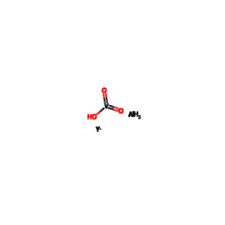 [AlH3].[O]=[V](=[O])[OH].[Y]